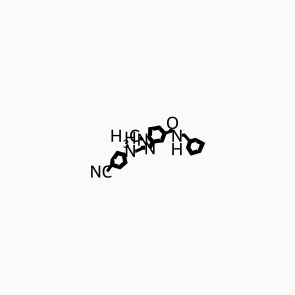 Cn1c(CNc2ccc(C#N)cc2)nc2cc(C(=O)NCc3ccccc3)ccc21